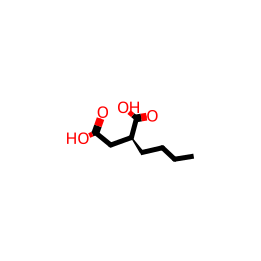 CCCC[C@@H](CC(=O)O)C(=O)O